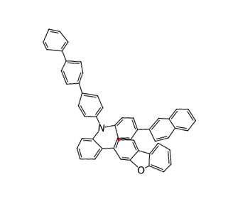 c1ccc(-c2ccc(-c3ccc(N(c4ccc(-c5ccc6ccccc6c5)cc4)c4ccccc4-c4ccc5c(c4)oc4ccccc45)cc3)cc2)cc1